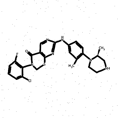 Cc1cc(Nc2ncc3c(n2)SCN(c2c(F)cccc2Cl)C3=O)ccc1N1CCNC[C@@H]1C